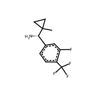 CC1([C@@H](N)c2ccc(C(F)(F)F)c(F)c2)CC1